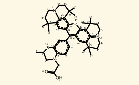 CC1CN(CC(=O)O)c2ccc(C3=c4cc5c6c(c4Oc4c3cc3c7c4C(C)(C)CCN7CCC3(C)C)C(C)(C)CC[N+]=6CCC5(C)C)cc2S1